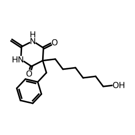 C=C1NC(=O)C(CCCCCCO)(Cc2ccccc2)C(=O)N1